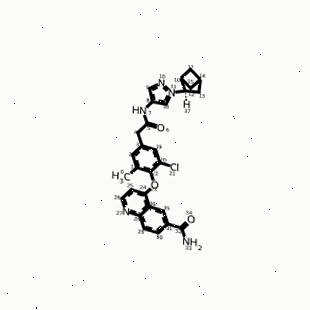 Cc1cc(CC(=O)Nc2cnn([C@@H]3CC4CC3C4)c2)cc(Cl)c1Oc1ccnc2ccc(C(N)=O)cc12